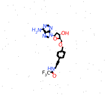 Nc1ncnc2c1ncn2[C@H]1C[C@H](O)[C@@H](COCc2ccc(C#CCNC(=O)C(F)(F)F)cc2)O1